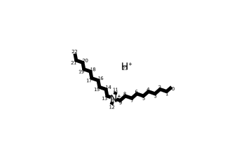 CCCCCCCCCC[N+](C)(C)CCCCCCCCCC.[H+]